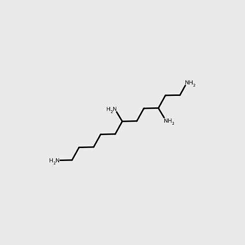 NCCCCCC(N)CCC(N)CCN